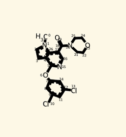 Cn1ccc2c(Oc3cc(Cl)cc(Cl)c3)ncc(C(=O)N3CCOCC3)c21